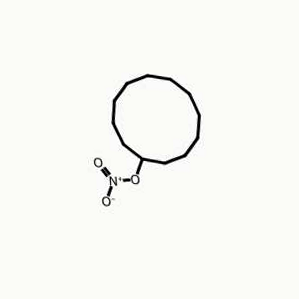 O=[N+]([O-])OC1CCCCCCCCCCC1